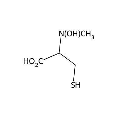 CN(O)C(CS)C(=O)O